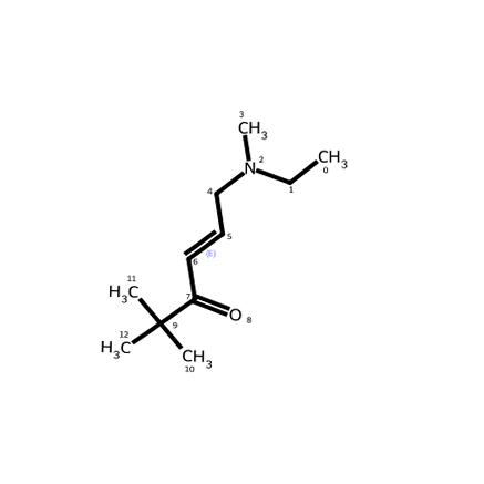 CCN(C)C/C=C/C(=O)C(C)(C)C